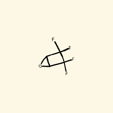 FC1(F)C2OC2C1(F)F